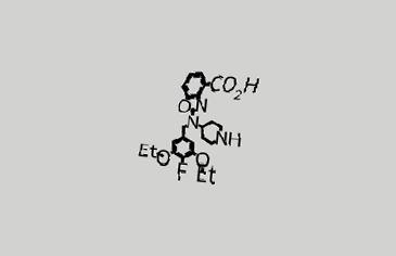 CCOc1cc(CN(c2nc3c(C(=O)O)cccc3o2)C2CCNCC2)cc(OCC)c1F